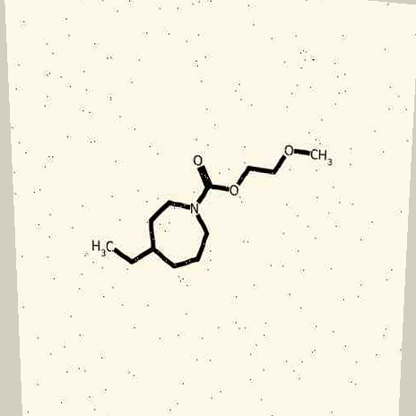 CCC1CCCN(C(=O)OCCOC)CC1